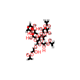 C=C(C)C(=O)OCC(O)COC[C@@H](OCC(O)COC(=O)C(=C)C)[C@@H](OCC(O)COC(=O)C(=C)C)[C@H](OCC(O)COC(=O)C(=C)C)[C@@H](COCC(O)COC(=O)C(=C)C)OCC(O)COC(=O)C(=C)C